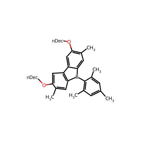 CCCCCCCCCCOc1cc2c(cc1C)B(c1c(C)cc(C)cc1C)c1cc(C)c(OCCCCCCCCCC)cc1-2